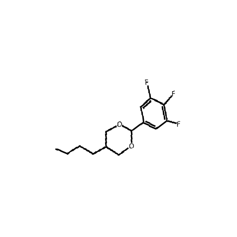 CCCCC1COC(c2cc(F)c(F)c(F)c2)OC1